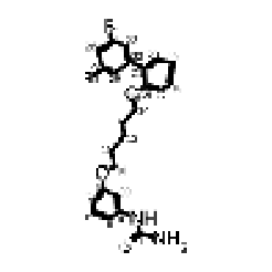 NC(=S)Nc1cccc(OCCCCCOc2ccccc2-c2cc(F)cc(F)c2)c1